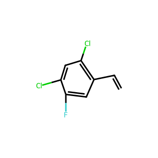 C=Cc1cc(F)c(Cl)cc1Cl